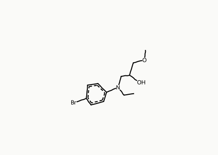 CCN(CC(O)COC)c1ccc(Br)cc1